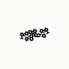 CC(C)c1cccc2c1oc1c(N(c3ccccc3)c3ccc4cc5c(cc4c3)C3(c4ccccc4-c4ccccc43)c3cc(N(c4ccccc4)c4cccc6c4oc4c(C(C)C)cccc46)c4ccccc4c3-5)cccc12